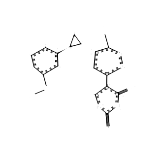 COc1cccc([C@H]2C[C@@H]2c2cc(-c3c[nH]c(=O)[nH]c3=O)nnc2Cl)c1